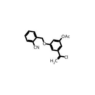 C=C(Cl)c1cc(OCc2ccccc2C#N)cc(OC(C)=O)c1